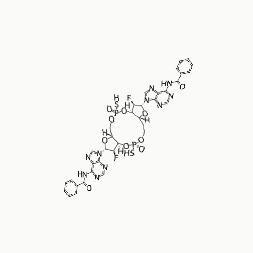 O=C(Nc1ncnc2c1ncn2[C@@H]1O[C@@H]2CCO[P@@](=O)(S)O[C@H]3[C@@H](F)[C@H](n4cnc5c(NC(=O)c6ccccc6)ncnc54)O[C@@H]3CO[P@@](=O)(S)O[C@H]2[C@H]1F)c1ccccc1